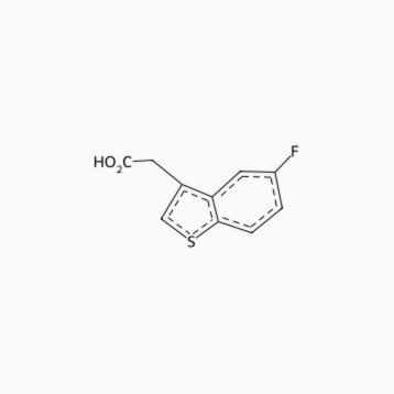 O=C(O)Cc1csc2ccc(F)cc12